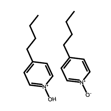 CCCCc1cc[n+](O)cc1.CCCCc1cc[n+]([O-])cc1